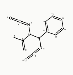 C=C(C)C(N=C=O)C(N=C=O)c1ccccc1